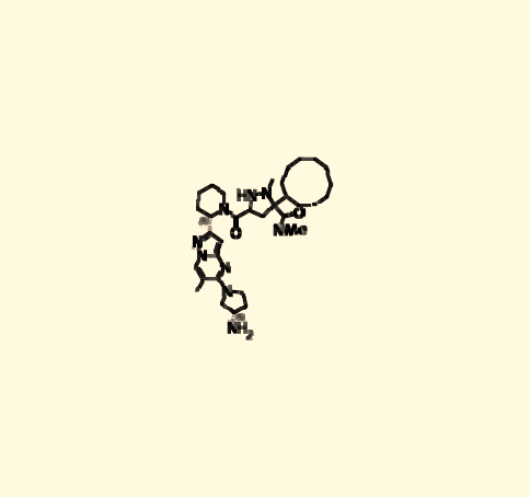 CNC(=O)C1(C2CCCCCCCCC2)CC(C(=O)N2CCCC[C@H]2c2cc3nc(N4CC[C@H](N)C4)c(C)cn3n2)NN1C